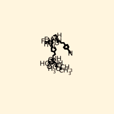 CC(C)(C)OC(=O)NC(CS(=O)(=O)O)C(=O)NCCC1CCN(c2cc(N3CCCC3C(=O)NCCc3ccc(C#N)cc3)nc(C(F)(F)F)n2)CC1